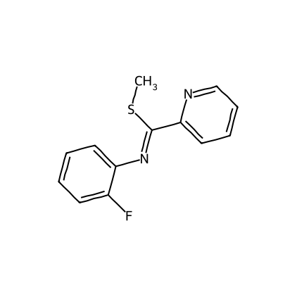 CS/C(=N\c1ccccc1F)c1ccccn1